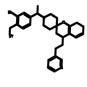 CCc1cc(C(C)N2CCC3(CC2)CC(CCc2cccnc2)C2=C(CCC=C2)O3)ccc1CC(C)C